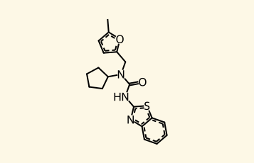 Cc1ccc(CN(C(=O)Nc2nc3ccccc3s2)C2CCCC2)o1